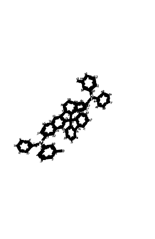 Cc1cccc(N(c2ccccc2)c2ccc3cc4c(cc3c2)C2(c3ccccc3-c3ccccc32)c2c-4ccc3cc(N(c4ccccc4)c4cccc(C)c4)ccc23)c1